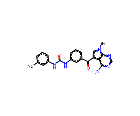 CC(C)n1cc(C(=O)c2cccc(NC(=O)Nc3cccc(C#N)c3)c2)c2c(N)ncnc21